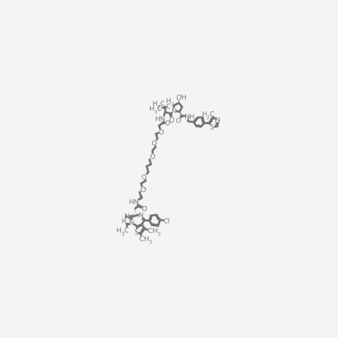 Cc1ncsc1-c1ccc(CNC(=O)[C@@H]2C[C@@H](O)CN2C(=O)C(NC(=O)COCCOCCOCCCCOCCOCCNC(=O)C[C@@H]2N=C(c3ccc(Cl)cc3)c3c(sc(C)c3C)-n3c(C)nnc32)C(C)(C)C)cc1